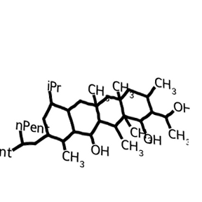 CCCCCC(CCCCC)CC1CC(C(C)C)C2CC3(C)CC4(C)CC(C)C(C(C)O)C(O)C4(C)C(C)C3C(O)C2C1C